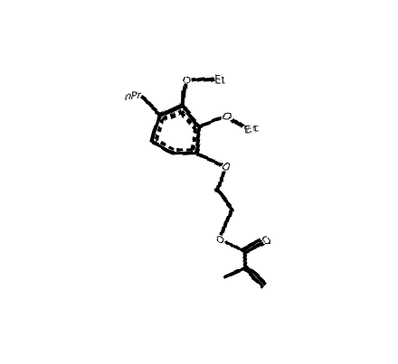 C=C(C)C(=O)OCCOc1ccc(CCC)c(OCC)c1OCC